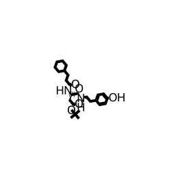 CC(C)(C)OC(=O)C[C@@H](NC(=O)CCC1CCCCC1)C(=O)NCCc1ccc(O)cc1